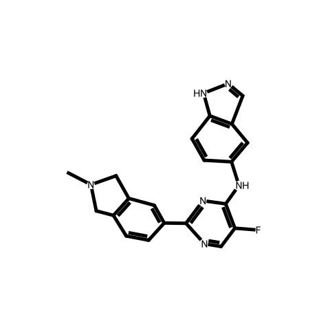 CN1Cc2ccc(-c3ncc(F)c(Nc4ccc5[nH]ncc5c4)n3)cc2C1